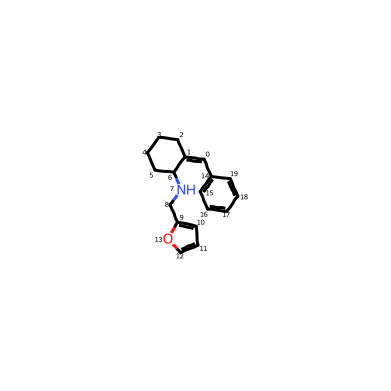 C(=C1CCCCC1NCc1ccco1)c1ccccc1